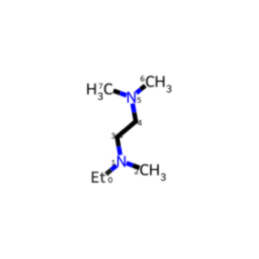 CCN(C)[CH]CN(C)C